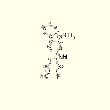 Cn1c2ccncc2c2ccc(Nc3ccc(C#N)c(F)c3)nc21